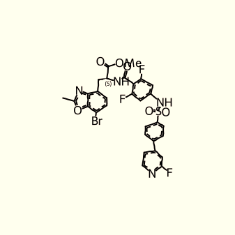 COC(=O)[C@H](Cc1ccc(Br)c2oc(C)nc12)NC(=O)c1c(F)cc(NS(=O)(=O)c2ccc(-c3ccnc(F)c3)cc2)cc1F